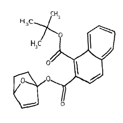 CC(C)(C)OC(=O)c1c(C(=O)OC23C=CC(CC2)O3)ccc2ccccc12